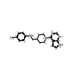 Clc1ccc(NCC2CCN(c3ncnc4[nH]ccc34)CC2)cc1